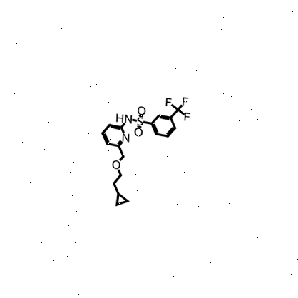 O=S(=O)(Nc1cccc(COCCC2CC2)n1)c1cccc(C(F)(F)F)c1